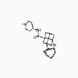 CCC12CC3CC4(C(=O)NC5CCNCC5)CC(c5ccccc5)(C1)C324